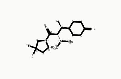 C[C@@H](C1CCC(=O)CC1)[C@@H](C(=O)N1CCC(F)(F)C1)N(C(=O)O)C(C)(C)C